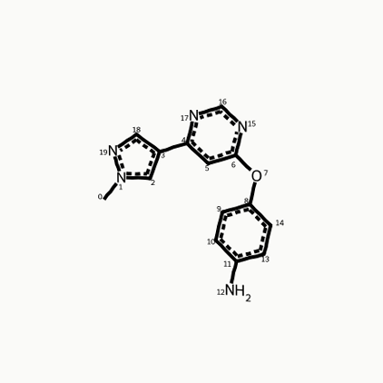 Cn1cc(-c2cc(Oc3ccc(N)cc3)ncn2)cn1